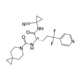 N#CC1(NC(=O)[C@H](CCC(F)(F)c2ccncc2)NC(=O)N2CCC3(CC2)CC3)CC1